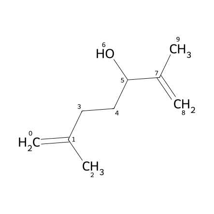 C=C(C)CCC(O)C(=C)C